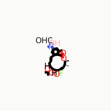 Cc1cc(N(C)BC=O)cc2c1C(=O)O[C@@H](C)[C@H](C)/C=C(/F)C(=O)[C@H]1OC(C)(C)O[C@H]1C/C=C/2